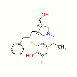 CC(CN1C[C@@H](CCCc2ccccc2)[C@@H](CO)C1)c1cc(F)c(O)c(F)c1